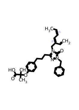 C=C/C(=C\C=C/C)Cn1c(CCCc2ccc(OC(C)(C)C(=O)O)cc2)nn(Cc2ccccc2)c1=O